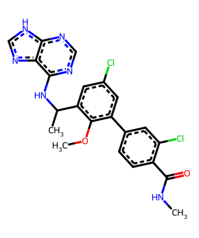 CNC(=O)c1ccc(-c2cc(Cl)cc(C(C)Nc3ncnc4[nH]cnc34)c2OC)cc1Cl